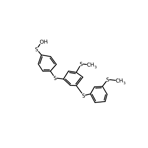 CSc1cccc(Sc2cc(SC)cc(Sc3ccc(SO)cc3)c2)c1